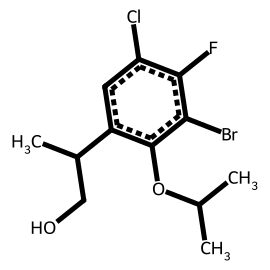 CC(C)Oc1c(C(C)CO)cc(Cl)c(F)c1Br